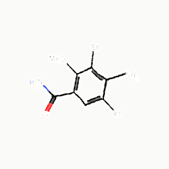 CCc1cc(C(N)=O)c(OC)c(CC)c1C